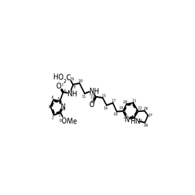 COc1cccc(C(=O)NC(CCNC(=O)CCCCc2ccc3c(n2)NCCC3)C(=O)O)n1